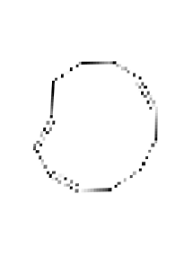 [CH]1C/C=C\CCC/C=C\C=C\C1